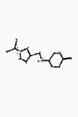 CC1CCC(NCC2CCN(C(C)C)C2)CC1